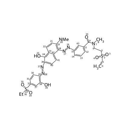 C=CS(=O)(=O)CCN(C)C(=O)c1cccc(/N=N/c2c(NC)ccc3c(O)c(/N=N/c4ccc(S(=O)(=O)CC)cc4O)ccc23)c1